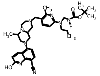 CCCN(CN(F)C(=O)OC(C)(C)C)c1ccc(CN2CCN3C(C)CN(c4ccc(C#N)c5nc(O)ccc45)CC3C2)c(C)n1